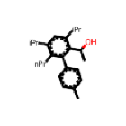 CCCc1c(C(C)C)cc(C(C)C)c(C(C)O)c1-c1ccc(C)cc1